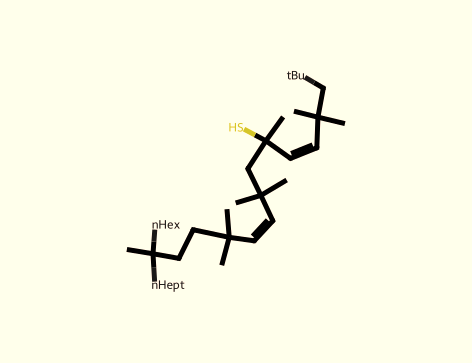 CCCCCCCC(C)(CCCCCC)CCC(C)(C)/C=C\C(C)(C)CC(C)(S)/C=C\C(C)(C)CC(C)(C)C